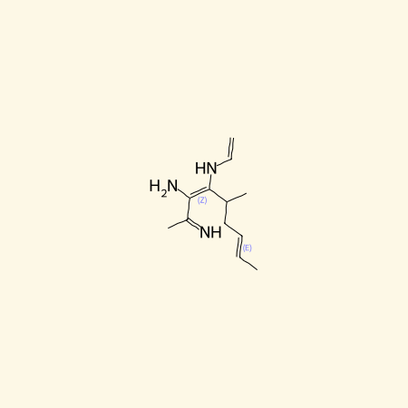 C=CN/C(=C(\N)C(C)=N)C(C)C/C=C/C